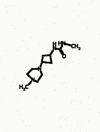 CNC(=O)NC1CC(N2CCN(C)CC2)C1